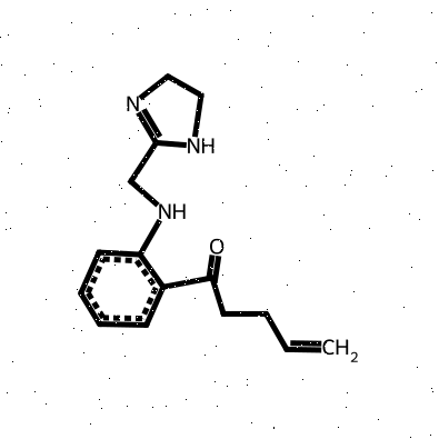 C=CCCC(=O)c1ccccc1NCC1=NCCN1